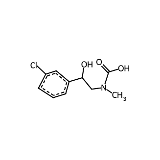 CN(CC(O)c1cccc(Cl)c1)C(=O)O